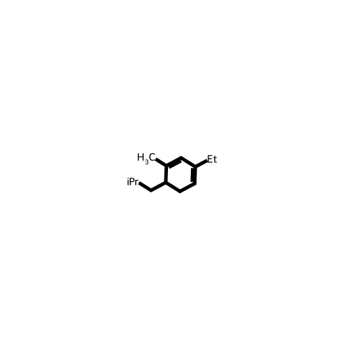 CCC1=CCC(CC(C)C)C(C)=C1